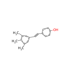 Cc1cc(C#Cc2ccc(O)cc2)cc(C)c1C